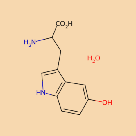 NC(Cc1c[nH]c2ccc(O)cc12)C(=O)O.O